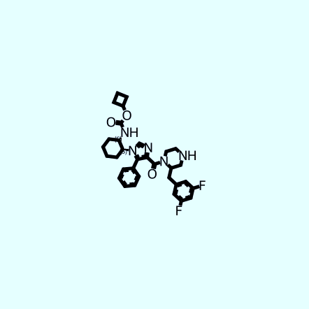 O=C(N[C@H]1CCCC[C@@H]1n1cnc(C(=O)N2CCNCC2Cc2cc(F)cc(F)c2)c1-c1ccccc1)OC1CCC1